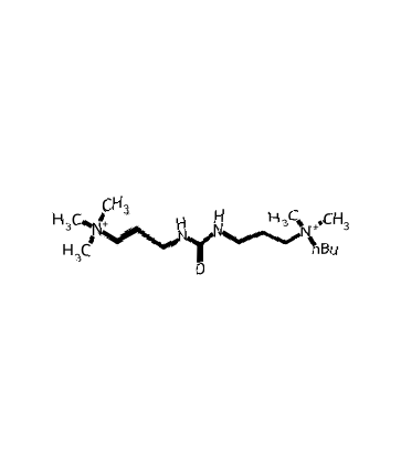 CCCC[N+](C)(C)CCCNC(=O)NCCC[N+](C)(C)C